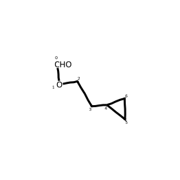 O=COCCC1CC1